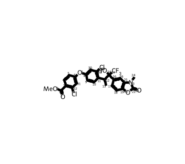 COC(=O)c1ccc(Oc2ccc(C(C)C(O)(c3ccc4oc(=O)n(C)c4c3)C(F)(F)F)c(Cl)c2)cc1Cl